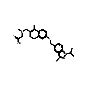 CC1=C(CN(C)CC(=O)O)CCc2cc(OCc3ccc4c(c3)c(Cl)nn4C(C)C)ccc21